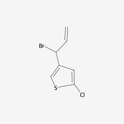 C=CC(Br)c1csc(Cl)c1